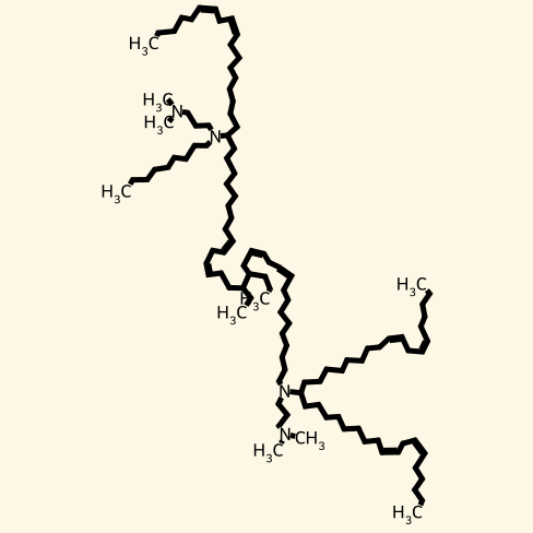 CCCCC/C=C\C/C=C\CCCCCCCCC(CCCCCCCC/C=C\C/C=C\CCC(CC)C(C/C=C\C/C=C\CCCCCCCCCN(CCCN(C)C)C(CCCCCCCC/C=C\C/C=C\CCCCC)CCCCCCCC/C=C\C/C=C\CCCCC)CCC)N(CCCCCCCCC)CCCN(C)C